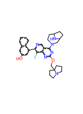 Oc1cc(-c2ncc3c(N4CCC5CCC(C4)N5)nc(OCC45CCCN4CCC5)nc3c2F)c2ccccc2c1